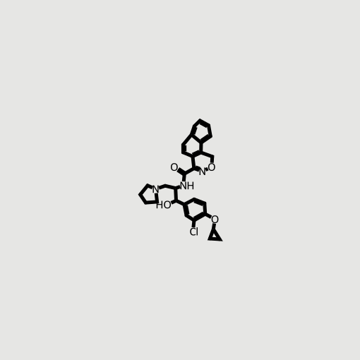 O=C(NC(CN1CCCC1)C(O)c1ccc(OC2CC2)c(Cl)c1)C1=NOCc2c1ccc1ccccc21